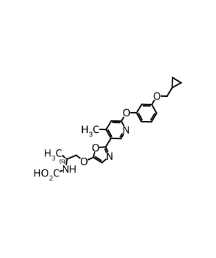 Cc1cc(Oc2cccc(OCC3CC3)c2)ncc1-c1ncc(OC[C@H](C)NC(=O)O)o1